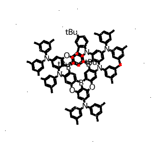 Cc1cc(C)cc(N(c2cc(C)cc(C)c2)c2cc3c4c(c2)Oc2cc5c(cc2B4c2cc4c(cc2O3)N(c2cc(C)cc(C)c2)c2cc(N(c3cc(C)cc(C)c3)c3cc(C)cc(C)c3)cc3c2B4c2cc(C(C)(C)C)ccc2O3)B2c3c(cc(N(c4cc(C)cc(C)c4)c4cc(C)cc(C)c4)cc3-n3c4ccc(C(C)(C)C)cc4c4cc(C(C)(C)C)cc2c43)N5c2cc(C)cc(C)c2)c1